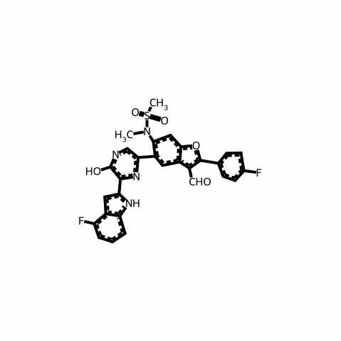 CN(c1cc2oc(-c3ccc(F)cc3)c(C=O)c2cc1-c1cnc(O)c(-c2cc3c(F)cccc3[nH]2)n1)S(C)(=O)=O